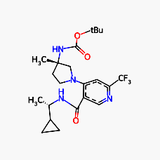 C[C@H](NC(=O)c1cnc(C(F)(F)F)cc1N1CC[C@](C)(NC(=O)OC(C)(C)C)C1)C1CC1